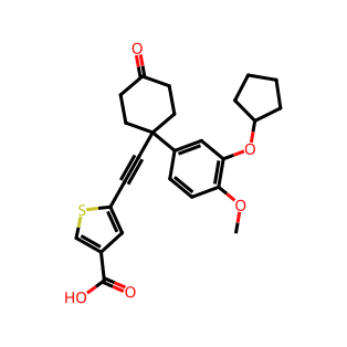 COc1ccc(C2(C#Cc3cc(C(=O)O)cs3)CCC(=O)CC2)cc1OC1CCCC1